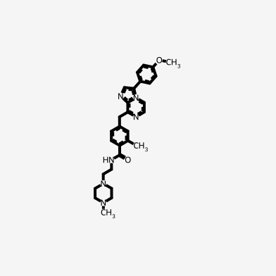 COc1ccc(-c2cnc3c(Cc4ccc(C(=O)NCCN5CCN(C)CC5)c(C)c4)nccn23)cc1